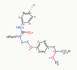 CCCCCN(CCOc1ccc(CC(OCC)C(=O)O)cc1)C(=O)Nc1ccc(F)cc1